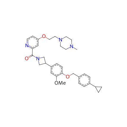 COc1cc(C2CN(C(=O)c3cc(OCCN4CCN(C)CC4)ccn3)C2)ccc1OCc1ccc(C2CC2)cc1